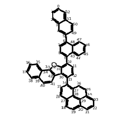 c1ccc2cc(-c3ccc(-c4ccc(-c5ccc6ccc7cccc8ccc5c6c78)c5c4oc4c6ccccc6ccc45)c4ccccc34)ccc2c1